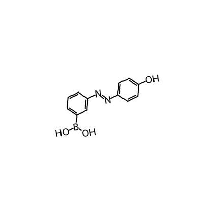 OB(O)c1cccc(N=Nc2ccc(O)cc2)c1